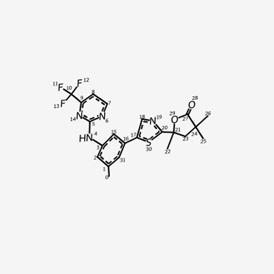 Cc1cc(Nc2nccc(C(F)(F)F)n2)cc(-c2cnc(C3(C)CC(C)(C)C(=O)O3)s2)c1